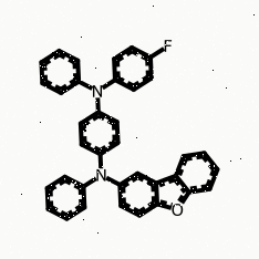 Fc1ccc(N(c2ccccc2)c2ccc(N(c3ccccc3)c3ccc4oc5ccccc5c4c3)cc2)cc1